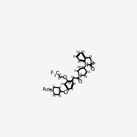 CC(=O)N1CCC(Oc2ccc(CC(=O)N3CCC(N4C(=O)OCc5ccccc54)CC3)c(OCC(F)(F)F)c2)CC1